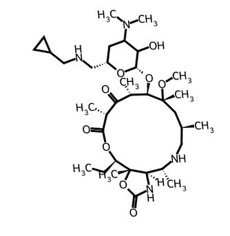 CC[C@H]1OC(=O)[C@H](C)C(=O)[C@H](C)[C@@H](O[C@@H]2O[C@H](CNCC3CC3)CC(N(C)C)C2O)[C@](C)(OC)C[C@@H](C)CN[C@H](C)[C@H]2NC(=O)O[C@@]21C